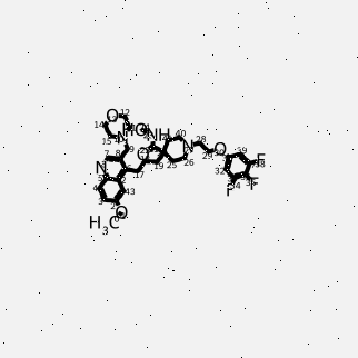 COc1ccc2ncc(CN3CCOCC3)c(CCCC3(C(=O)NO)CCN(CCOc4cc(F)c(F)c(F)c4)CC3)c2c1